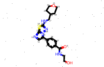 O=C(NCCO)c1ccc(-c2cnc3sc(NCC4CCOCC4)nn23)cc1